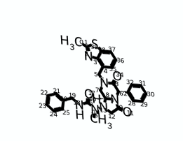 Cc1nc2c(CN3C[C@H]4N(C(=O)CN4N(C)C(=O)NCc4ccccc4)[C@@H](c4ccccc4)C3=O)cccc2s1